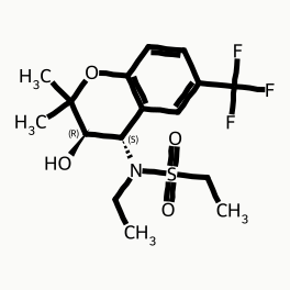 CCN([C@H]1c2cc(C(F)(F)F)ccc2OC(C)(C)[C@@H]1O)S(=O)(=O)CC